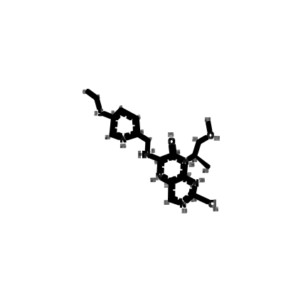 CCSc1ccc(CNc2nc3cnc(Cl)nc3n([C@H](C)COC)c2=O)nc1